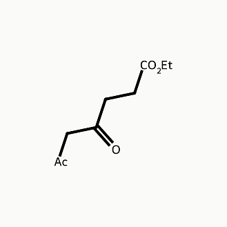 CCOC(=O)CCC(=O)CC(C)=O